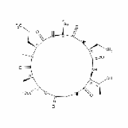 CCCCCCCCCC[C@H]1OC(=O)CNC(=O)[C@H]([C@H](C)O)NC(=O)[C@H](CN)NC(=O)[C@H]([C@H](C)CC)NC(=O)[C@H](CCC(F)(F)F)N(C)C(=O)[C@@H]1C